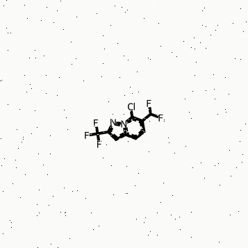 FC(F)c1ccc2cc(C(F)(F)F)nn2c1Cl